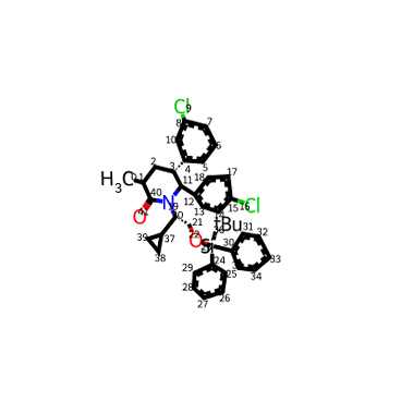 CC1C[C@H](c2cccc(Cl)c2)C(c2ccc(Cl)cc2)N([C@H](CO[Si](c2ccccc2)(c2ccccc2)C(C)(C)C)C2CC2)C1=O